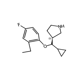 CCc1cc(F)ccc1OC(C1CC1)[C@H]1CCNC1